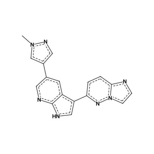 Cn1cc(-c2cnc3[nH]cc(-c4ccc5nccn5n4)c3c2)cn1